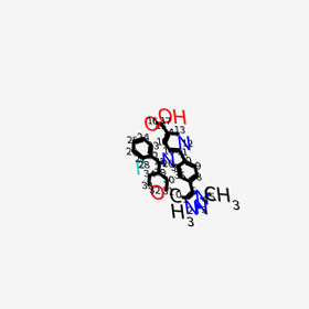 Cc1nnn(C)c1-c1ccc2c3ncc(C(=O)O)cc3n(C(c3ccccc3F)C3CCOCC3)c2c1